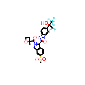 CC1(C(=O)N2Cc3cc(S(C)(=O)=O)ccc3[C@@H]2C(=O)Nc2ccc(C(O)(C(F)(F)F)C(F)(F)F)cc2)CCO1